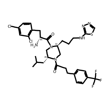 CC(C)C[C@@H]1CN(C(=O)[C@H](N)Cc2ccc(Cl)cc2Cl)[C@@H](CCCNc2nncs2)CN1C(=O)CCc1ccc(C(F)(F)F)cc1